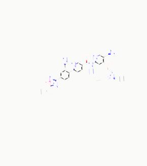 Cc1nc(-c2ccc(-c3ccc(C(=O)Nc4cc(OCCN(C)C)c(C#N)cn4)cn3)c(C#N)c2)no1